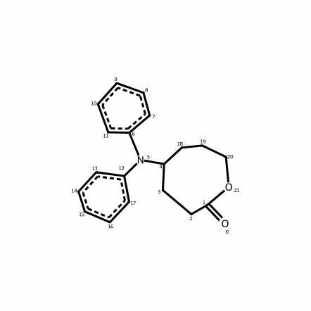 O=C1CCC(N(c2ccccc2)c2ccccc2)CCCO1